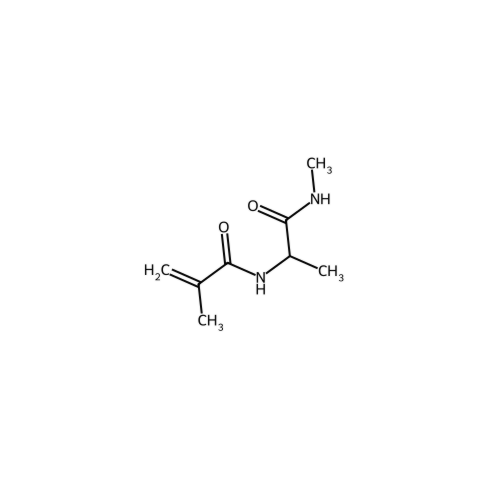 C=C(C)C(=O)NC(C)C(=O)NC